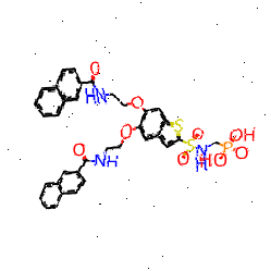 O=C(NCCOc1cc2cc(S(=O)(=O)NCP(=O)(O)O)sc2cc1OCCNC(=O)c1ccc2ccccc2c1)c1ccc2ccccc2c1